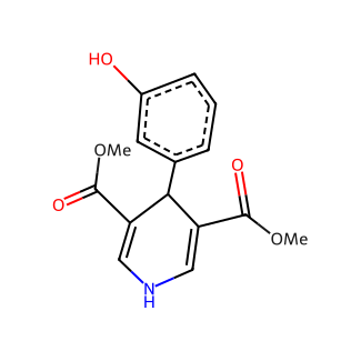 COC(=O)C1=CNC=C(C(=O)OC)C1c1cccc(O)c1